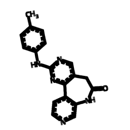 Cc1ccc(Nc2ncc3c(n2)-c2ccncc2NC(=O)C3)cc1